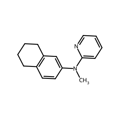 CN(c1ccc2c(c1)CCCC2)c1ccccn1